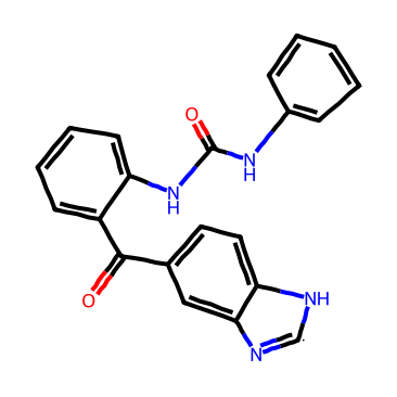 O=C(Nc1ccccc1)Nc1ccccc1C(=O)c1ccc2[nH][c]nc2c1